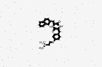 CN(C)CCSc1ccc(C=c2[nH]c(=O)c(=Cc3ccc4ccccc4c3)[nH]c2=O)cc1